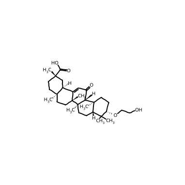 CC1(C)[C@@H](OCCO)CC[C@]2(C)[C@H]3C(=O)C=C4[C@@H]5C[C@@](C)(C(=O)O)CC[C@]5(C)CC[C@@]4(C)[C@]3(C)CC[C@@H]12